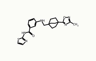 Cc1noc(C23CCC(CNc4cccc(C(=O)Nc5nccs5)c4)(CC2)CC3)n1